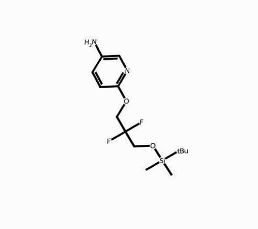 CC(C)(C)[Si](C)(C)OCC(F)(F)COc1ccc(N)cn1